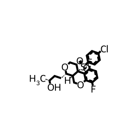 C[C@@H](O)CC[C@@H]1OCC[C@@]2(S(=O)(=O)c3ccc(Cl)cc3)c3c(F)ccc(F)c3OC[C@@H]12